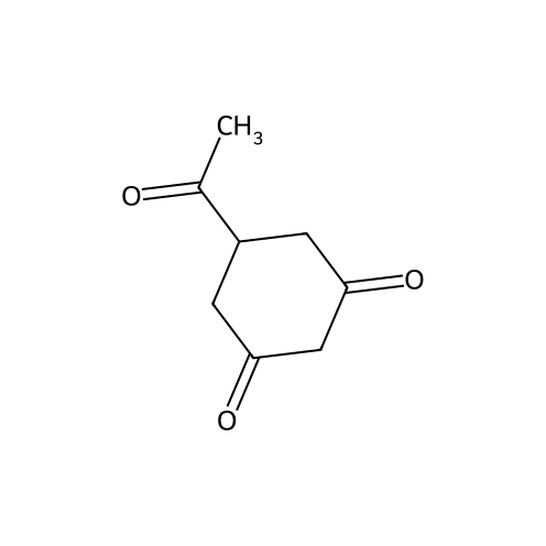 CC(=O)C1CC(=O)CC(=O)C1